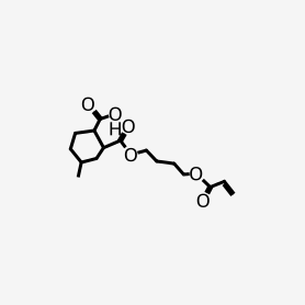 C=CC(=O)OCCCCOC(=O)C1CC(C)CCC1C(=O)O